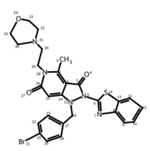 Cc1c2c(=O)n(-c3nc4ccccc4s3)n(Cc3ccc(Br)cc3)c2cc(=O)n1CCN1CCOCC1